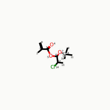 C=C(C)C(=O)OC(O[Si](C)(C)C)C(C)Cl